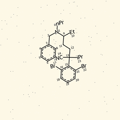 CCCN(Cc1ccccc1)C(CC)CCC(C#N)(c1c(Br)cccc1Br)C(C)C